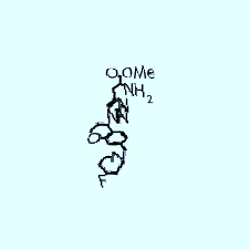 COC(=O)C(N)Cc1cn(C2CCOc3cc(CN4CCC(F)CC4)ccc32)nn1